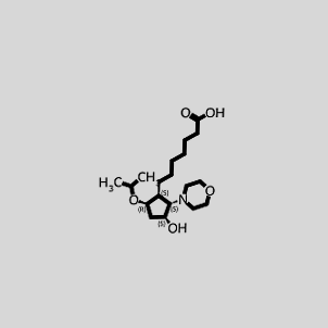 CC(C)O[C@@H]1C[C@H](O)[C@@H](N2CCOCC2)[C@@H]1CCCCCCC(=O)O